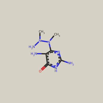 CN(N)N(C)c1nc(N)[nH]c(=O)c1N